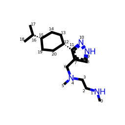 CNCCN(C)Cc1c[nH]nc1[C@H]1CC[C@@H](C(C)C)CC1